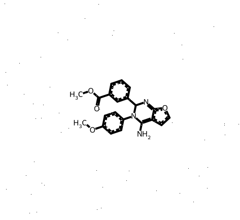 COC(=O)c1cccc(C2N=c3occc3=C(N)N2c2ccc(OC)cc2)c1